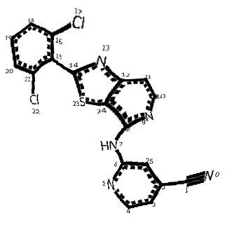 N#Cc1ccnc(Nc2nccc3nc(-c4c(Cl)cccc4Cl)sc23)c1